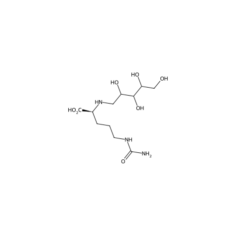 NC(=O)NCCC[C@H](NCC(O)C(O)C(O)CO)C(=O)O